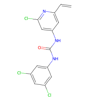 C=Cc1cc(NC(=O)Nc2cc(Cl)cc(Cl)c2)cc(Cl)n1